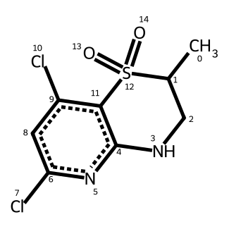 CC1CNc2nc(Cl)cc(Cl)c2S1(=O)=O